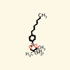 CCCCCCCc1ccc(B2OCC(C)(C)C(C)(C)O2)cc1